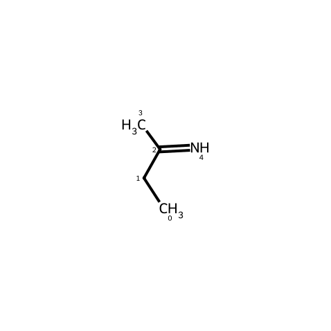 CCC(C)=N